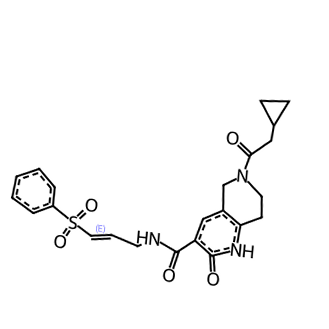 O=C(NC/C=C/S(=O)(=O)c1ccccc1)c1cc2c([nH]c1=O)CCN(C(=O)CC1CC1)C2